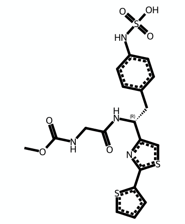 COC(=O)NCC(=O)N[C@H](Cc1ccc(NS(=O)(=O)O)cc1)c1csc(-c2cccs2)n1